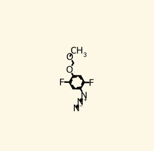 COCOc1cc(F)c(N=[N+]=[N-])cc1F